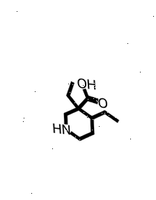 CCC1CCNCC1(CC)C(=O)O